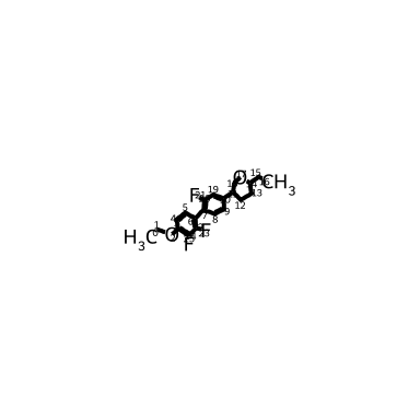 CCOc1ccc(-c2ccc(C3CCC(CC)OC3)cc2F)c(F)c1F